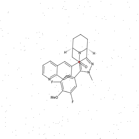 COc1c(F)cc(-c2c3c(nn2C)[C@@H]2CCC[C@H](C3)N2C(=O)c2ccc3ncccc3c2)cc1F